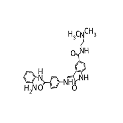 CN(C)CCNC(=O)c1ccc2c(c1)C(=CNc1ccc(C(=O)Nc3ccccc3N)cc1)C(=O)N2